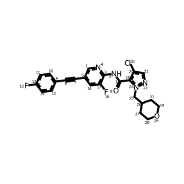 O=C(Nc1ncc(C#Cc2ccc(F)cc2)cc1F)c1c(Cl)cnn1CC1CCOCC1